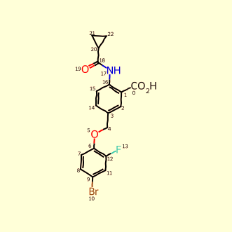 O=C(O)c1cc(COc2ccc(Br)cc2F)ccc1NC(=O)C1CC1